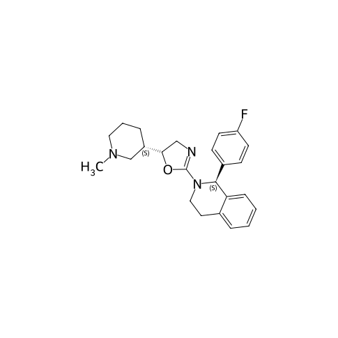 CN1CCC[C@H](C2CN=C(N3CCc4ccccc4[C@@H]3c3ccc(F)cc3)O2)C1